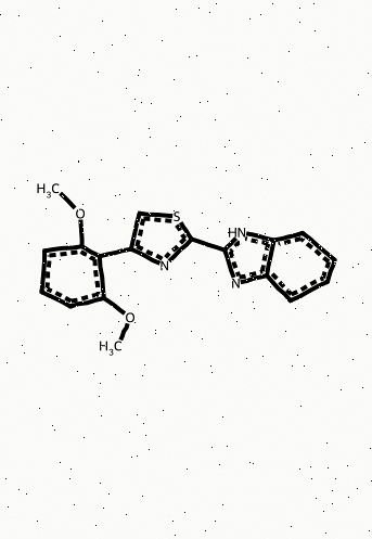 COc1cccc(OC)c1-c1csc(-c2nc3ccccc3[nH]2)n1